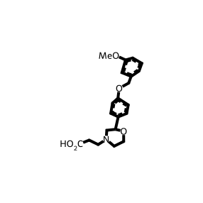 COc1cccc(COc2ccc(C3CN(CCC(=O)O)CCO3)cc2)c1